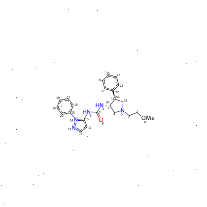 COCCN1C[C@H](NC(=O)Nc2ccnn2-c2ccccc2)[C@@H](c2ccccc2)C1